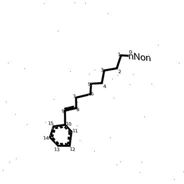 CCCCCCCCCCCCCCCCC=Cc1ccccc1